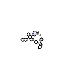 C/C=C(\C=C/CC)c1c2ccccc2c(-c2ccc3ccccc3c2)c2ccc(-c3ccc(-n4c(-c5ccccc5)nc5c4CCCC5)cc3)cc12